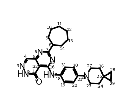 O=c1[nH]ncc2nc(C3CCCCCC3)nc(Nc3ccc(N4CCC5(CC4)CC5)cc3)c12